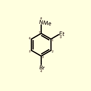 CCc1cc(Br)ccc1NC